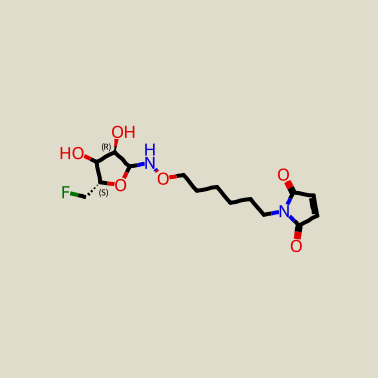 O=C1C=CC(=O)N1CCCCCCONC1O[C@H](CF)C(O)[C@H]1O